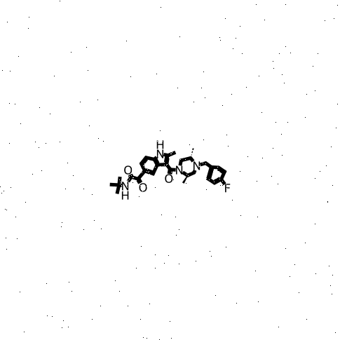 Cc1[nH]c2ccc(C(=O)C(=O)NC(C)(C)C)cc2c1C(=O)N1C[C@H](C)N(Cc2ccc(F)cc2)C[C@H]1C